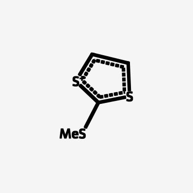 CSc1scc[s+]1